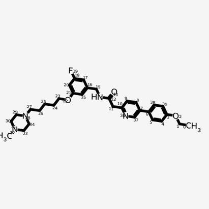 CCOc1ccc(-c2ccc(CC(=O)NCc3cc(F)cc(OCCCCCN4CCN(C)CC4)c3)nc2)cc1